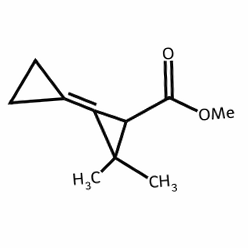 COC(=O)C1C(=C2CC2)C1(C)C